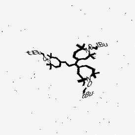 CC(C)(C)CON1C(C)(C)CCC(CCC(C2CCC(C)(C)N(OCC(C)(C)C)C(C)(C)C2)C2CCC(C)(C)N(OCC(C)(C)C)C(C)(C)C2)CC1(C)C